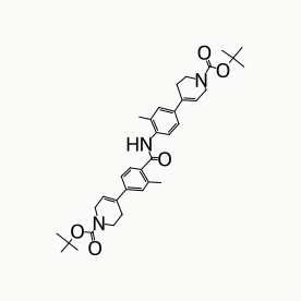 Cc1cc(C2=CCN(C(=O)OC(C)(C)C)CC2)ccc1NC(=O)c1ccc(C2=CCN(C(=O)OC(C)(C)C)CC2)cc1C